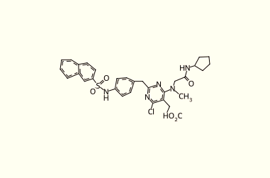 CN(CC(=O)NC1CCCC1)c1nc(Cc2ccc(NS(=O)(=O)c3ccc4ccccc4c3)cc2)nc(Cl)c1CC(=O)O